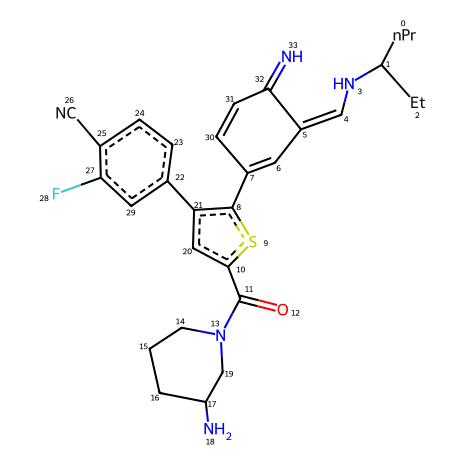 CCCC(CC)N/C=C1/C=C(c2sc(C(=O)N3CCCC(N)C3)cc2-c2ccc(C#N)c(F)c2)C=CC1=N